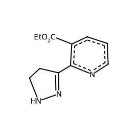 CCOC(=O)c1cccnc1C1=NNCC1